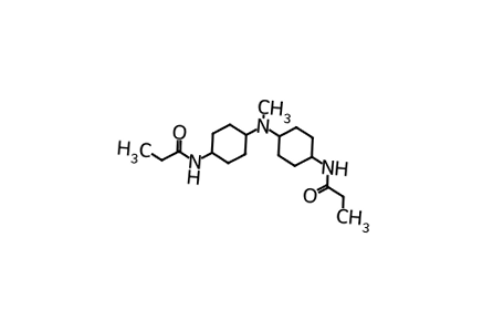 CCC(=O)NC1CCC(N(C)C2CCC(NC(=O)CC)CC2)CC1